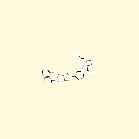 Cc1ccnc(C)c1C(=O)N1CC2CN(c3cccc(C(CC(N)=O)C4(C(=O)O)CCC4)c3)CC2C1